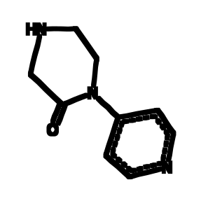 O=C1CNCCN1c1ccncc1